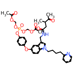 CC(=O)OCOP(=O)(OCOC(C)=O)Oc1ccc(Oc2ccc3c(c2)c(CNC(=O)CC(C)C(C)=O)cn3CCCCc2ccccn2)cc1